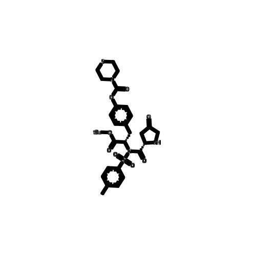 Cc1ccc(S(=O)(=O)N(C(=O)[C@@H]2CC(=O)CN2)[C@@H](Cc2ccc(OC(=O)N3CCSCC3)cc2)C(=O)OC(C)(C)C)cc1